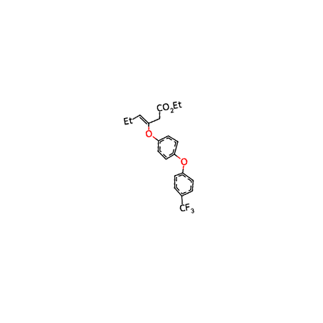 CC/C=C(/CC(=O)OCC)Oc1ccc(Oc2ccc(C(F)(F)F)cc2)cc1